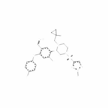 Cc1cc(Nc2ccc(F)cc2)c(C=N)cc1[C@@H]1CN(S(=O)(=O)c2cnn(C)n2)CCN1CC1(F)CC1